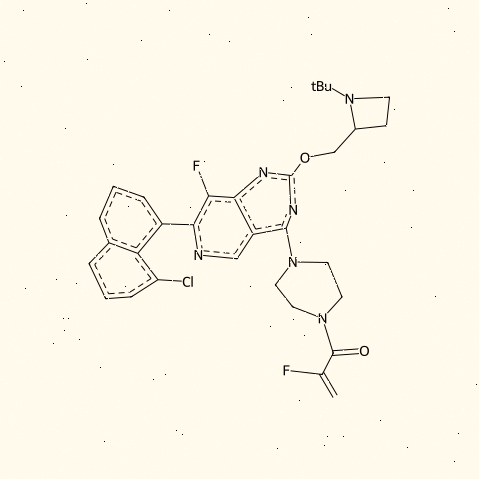 C=C(F)C(=O)N1CCN(c2nc(OCC3CCN3C(C)(C)C)nc3c(F)c(-c4cccc5cccc(Cl)c45)ncc23)CC1